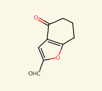 O=[C]c1cc2c(o1)CCCC2=O